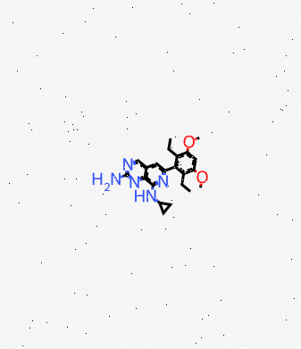 CCc1c(OC)cc(OC)c(CC)c1-c1cc2cnc(N)nc2c(NC2CC2)n1